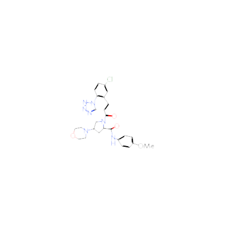 COc1ccc(NC(=O)C2CC(N3CCOCC3)CN2C(=O)/C=C/c2cc(Cl)ccc2-n2cnnn2)cc1